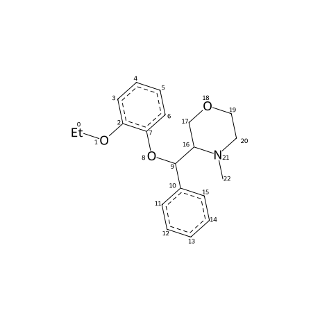 CCOc1ccccc1OC(c1ccccc1)C1COCCN1C